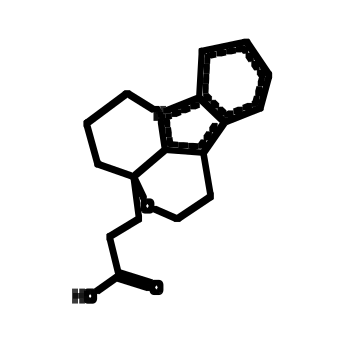 O=C(O)CCC12CCCn3c1c(c1ccccc13)CCO2